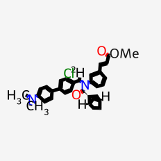 [2H]C(c1ccc(-c2ccc(N(C)C)cc2)cc1Cl)N(C(=O)[C@@H]1C[C@@H]2CC[C@H]1C2)c1cccc(/C=C/C(=O)OC)c1